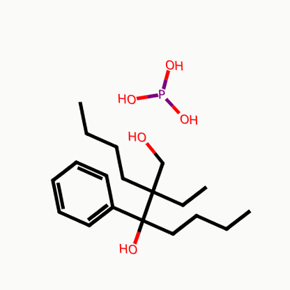 CCCCC(CC)(CO)C(O)(CCCC)c1ccccc1.OP(O)O